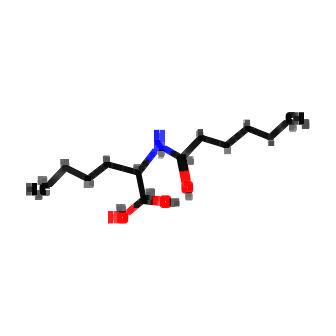 CCCCCC(=O)NC(CCCC)C(=O)O